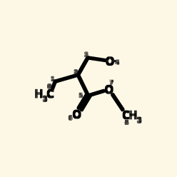 CCC(C[O])C(=O)OC